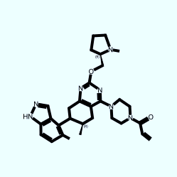 C=CC(=O)N1CCN(c2nc(OC[C@H]3CCCN3C)nc3c2C[C@@H](C)C(c2c(C)ccc4[nH]ncc24)C3)CC1